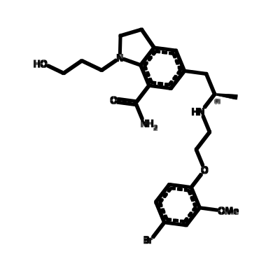 COc1cc(Br)ccc1OCCN[C@H](C)Cc1cc2c(c(C(N)=O)c1)N(CCCO)CC2